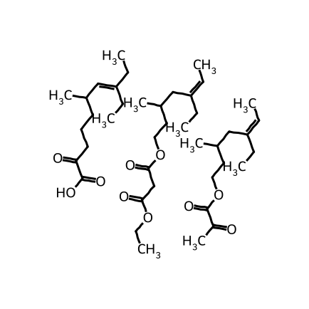 CC=C(CC)CC(C)CCOC(=O)C(C)=O.CC=C(CC)CC(C)CCOC(=O)CC(=O)OCC.CCC(=CC(C)CCCC(=O)C(=O)O)CC